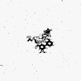 C=C(O)CN(C)CCNC(=O)c1cc(-c2cccc(CN3O[C@@H](CO)[C@@H]([C@H](C)O)[C@H]3C(=O)N[C@H]3C[C@H]4C[C@@H]([C@@H]3C)C4(C)C)c2OC)cc(N(C)C)c1